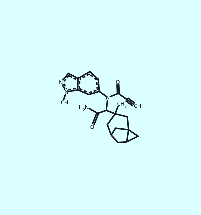 C#CC(=O)N(c1ccc2cnn(C)c2c1)C(C(N)=O)C1(C)CC2CC3CC3(C2)C1